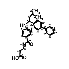 CC(C)CC(Nc1ccc(C(=O)NCCC(=O)O)cn1)c1ccc(-c2cccnc2)cc1